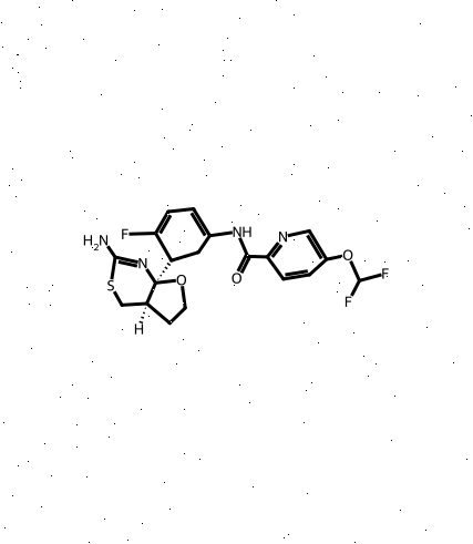 NC1=N[C@@]2(C3CC(NC(=O)c4ccc(OC(F)F)cn4)=CC=C3F)OCC[C@H]2CS1